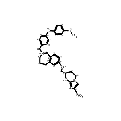 O=[N+]([O-])c1cn2c(n1)O[C@@H](COc1ccc3c(c1)CCCN(Cc1ccc(Oc4ccc(OC(F)(F)F)cc4)cc1)C3)CC2